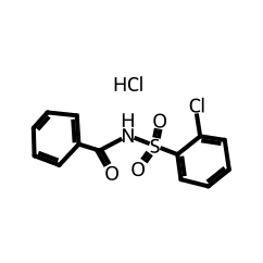 Cl.O=C(NS(=O)(=O)c1ccccc1Cl)c1ccccc1